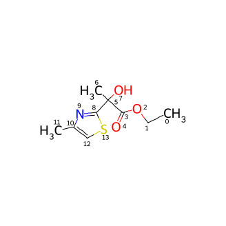 CCOC(=O)C(C)(O)c1nc(C)cs1